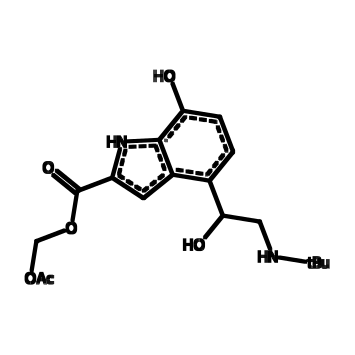 CC(=O)OCOC(=O)c1cc2c(C(O)CNC(C)(C)C)ccc(O)c2[nH]1